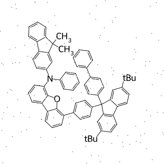 CC(C)(C)c1ccc2c(c1)C(c1ccc(-c3ccccc3)cc1)(c1ccc(-c3cccc4c3oc3c(N(c5ccccc5)c5ccc6c(c5)C(C)(C)c5ccccc5-6)cccc34)cc1)c1cc(C(C)(C)C)ccc1-2